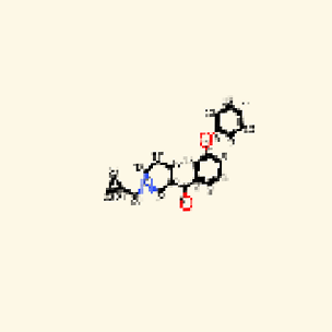 O=C(c1cccc(Oc2ccccc2)c1)[C@@H]1CCCN(CC2CC2)C1